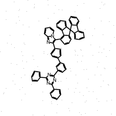 c1ccc(-c2nc(-c3ccccc3)nc(-c3cccc(-c4ccc(-c5nc6ccccn6c5-c5cccc6c5-c5ccccc5C65c6ccccc6-c6ccccc65)cc4)c3)n2)cc1